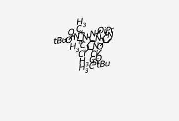 CC(C)c1nccc(OCCO[Si](C)(C)C(C)(C)C)c1-n1c(=O)nc(N2C[C@@H](C)N(C(=O)OC(C)(C)C)C[C@@H]2C)c2cc(Cl)c(Cl)nc21